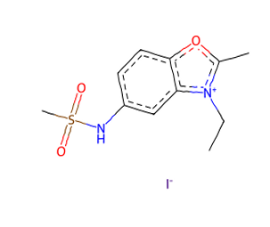 CC[n+]1c(C)oc2ccc(NS(C)(=O)=O)cc21.[I-]